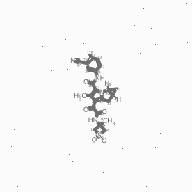 Cc1c(C(=O)C(=O)NC2(C)CS(=O)(=O)C2)c2n(c1C(=O)Nc1ccc(F)c(C#N)c1)[C@@H]1C[C@@H]1C2